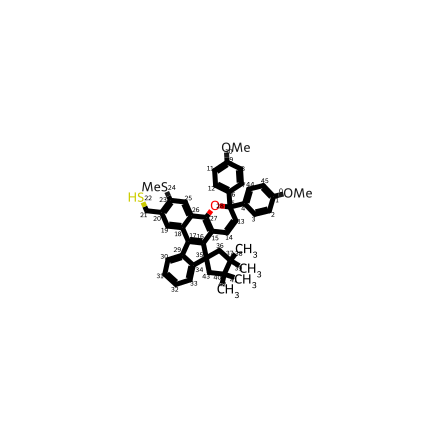 COc1ccc(C2(c3ccc(OC)cc3)C=Cc3c4c(c5cc(CS)c(SC)cc5c3O2)-c2ccccc2C42CC(C)(C)C(C)(C)C2)cc1